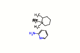 CC1CCCC[Si]1(C)C.Nc1ccccn1.[Mn]